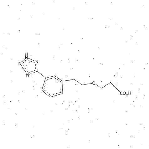 O=C(O)CCOCCc1cccc(-c2nn[nH]n2)c1